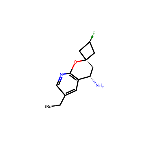 CC(C)(C)Cc1cnc2c(c1)[C@@H](N)C[C@]1(C[C@H](F)C1)O2